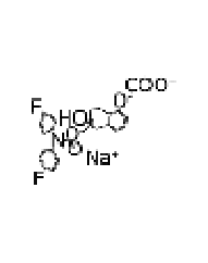 O=C([O-])COc1cccc2c1CC[C@](O)(COC(=O)N(c1ccc(F)cc1)c1ccc(F)cc1)C2.[Na+]